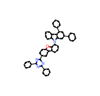 c1ccc(-c2cc(-c3ccccc3)c3c4ccccc4n(-c4cccc5c4oc4ccc(-c6nc(-c7ccccc7)nc(-c7ccccc7)n6)cc45)c3c2)cc1